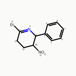 CCC1=NC(c2ccccc2)C([N+](=O)[O-])CC1